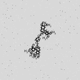 COc1ccc(CC2c3cc(OC)c(OC)cc3CC[N+]2(C)CCCOC(=O)/C=C\C(=O)OCCC[N+]2(C)CCc3cc(OC)c(OC)cc3C2c2cc(C=O)c(OC)c(OC)c2)cc1OC